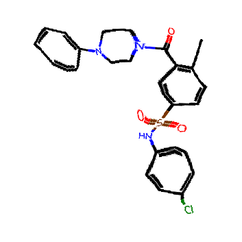 Cc1ccc(S(=O)(=O)Nc2ccc(Cl)cc2)cc1C(=O)N1CCN(c2ccccc2)CC1